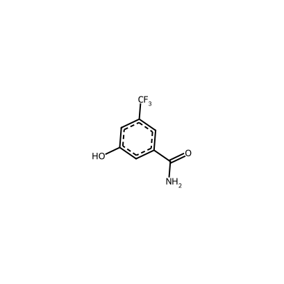 NC(=O)c1cc(O)cc(C(F)(F)F)c1